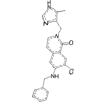 Cc1[nH]cnc1Cn1ccc2cc(NCc3ccccc3)c(Cl)cc2c1=O